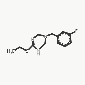 BCSC1=NCN(Cc2cccc(F)c2)CN1